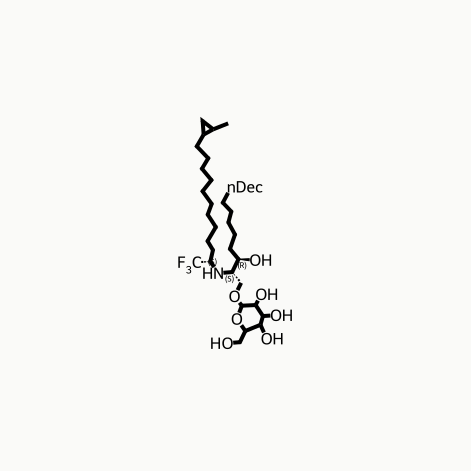 CCCCCCCCCCCCCCC[C@@H](O)[C@H](COC1OC(CO)C(O)C(O)C1O)N[C@@H](CCCCCCCCCCC1CC1C)C(F)(F)F